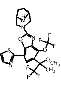 COC(C)(c1cc(-c2nccs2)c2oc(N3CC4CCC(C3)N4)nc2c1OC(F)(F)F)C(F)(F)F